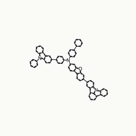 c1ccc(-c2ccc(N(c3ccc(-c4ccc5c(c4)c4ccccc4n5-c4ccccc4)cc3)c3ccc4c(c3)oc3cc(-c5ccc6c(c5)c5cccc7c8ccccc8n6c75)ccc34)cc2)cc1